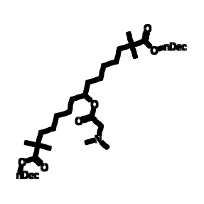 CCCCCCCCCCOC(=O)C(C)(C)CCCCCC(CCCCCC(C)(C)C(=O)OCCCCCCCCCC)OC(=O)CN(C)C